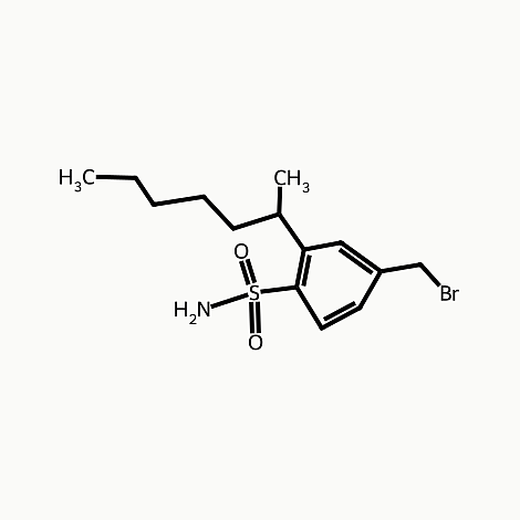 CCCCCC(C)c1cc(CBr)ccc1S(N)(=O)=O